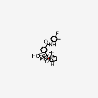 Cc1cc(NC(=O)c2ccc(F)c(C(F)(F)C(=O)N3[C@@H]4CC[C@H]3CC(NC(=O)O)C4)c2)ccc1F